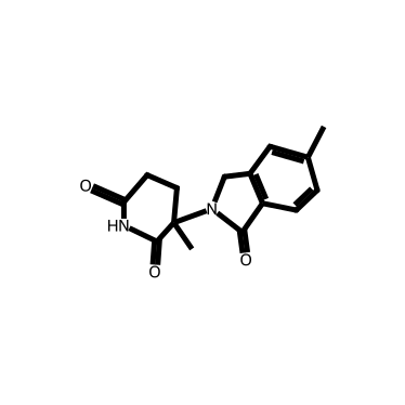 Cc1ccc2c(c1)CN(C1(C)CCC(=O)NC1=O)C2=O